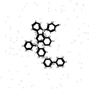 CC1C=CC(n2c3ccccc3c3cc(N(C4=CCC([C@H]5C=CC=C(C6C=CC=CC6)C5)C=C4)c4ccccc4)c4c(c32)CCCC4)=CC1